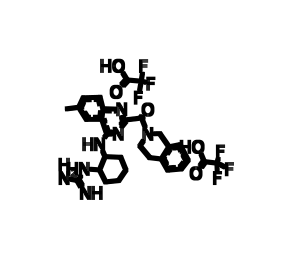 Cc1ccc2nc(C(=O)N3CCc4ccccc4C3)nc(NC3CCCCC3NC(=N)N)c2c1.O=C(O)C(F)(F)F.O=C(O)C(F)(F)F